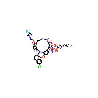 COC1CN(S(=O)(=O)NC(=O)[C@@]2(O)CC(=O)N(C)CC/C=C/[C@H](OCCN3CC(F)(F)C3)[C@@H]3CC[C@H]3CN3C[C@@]4(CCCc5cc(Cl)ccc54)COc4ccc2cc43)C1